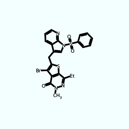 CCc1nn(C)c(=O)c2c(Br)c(Cc3cn(S(=O)(=O)c4ccccc4)c4ncccc34)sc12